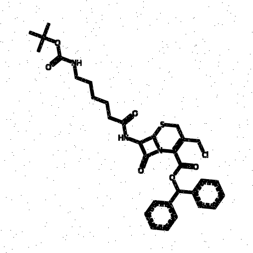 CC(C)(C)OC(=O)NCCCCCC(=O)NC1C(=O)N2C(C(=O)OC(c3ccccc3)c3ccccc3)=C(CCl)CSC12